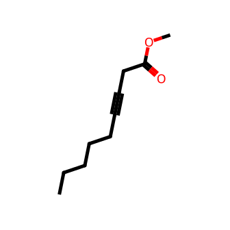 CCCCCC#CCC(=O)OC